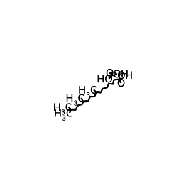 CC(C)=CCC/C(C)=C/CC/C(C)=C/CCCCC(C(=O)O)P(=O)(O)O